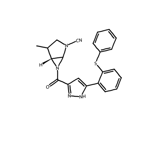 CC1CN(C#N)C2[C@@H]1N2C(=O)c1cc(-c2ccccc2Sc2ccccc2)[nH]n1